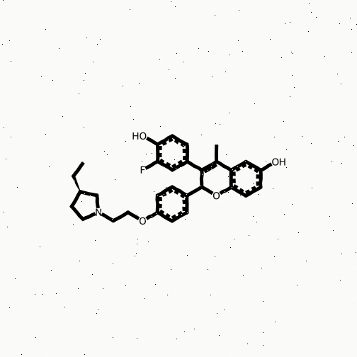 CC[C@@H]1CCN(CCOc2ccc(C3Oc4ccc(O)cc4C(C)=C3c3ccc(O)c(F)c3)cc2)C1